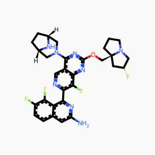 Nc1cc2ccc(F)c(F)c2c(-c2ncc3c(N4C[C@H]5CC[C@@H](C4)N5)nc(OC[C@@]45CCCN4C[C@H](F)C5)nc3c2F)n1